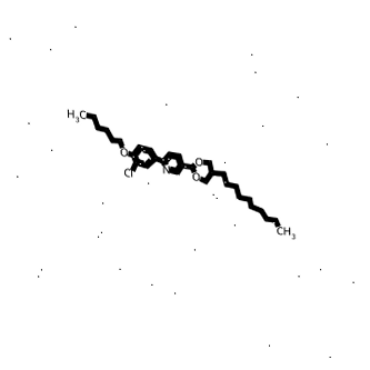 CCCCCCCCCCC1COC(c2ccc(-c3ccc(OCCCCCC)c(Cl)c3)nc2)OC1